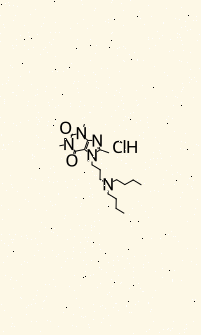 CCCCN(CCCC)CCCn1c(C)nc2c1c(=O)n(C)c(=O)n2C.Cl